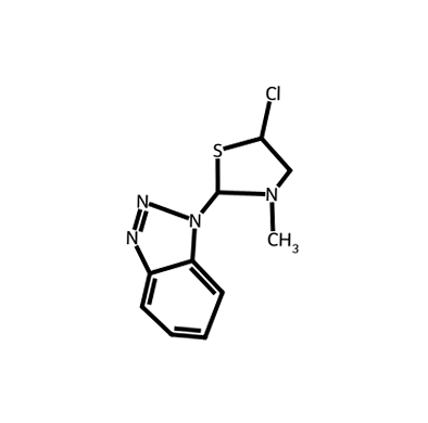 CN1CC(Cl)SC1n1nnc2ccccc21